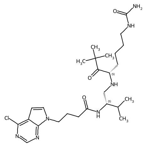 CC(C)[C@@H](CN[C@@H](CCCCNC(N)=O)C(=O)C(C)(C)C)NC(=O)CCCn1ccc2c(Cl)ncnc21